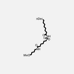 CCCCCCCCCCCCCCCCCC(=O)NS(=O)(=O)CCCCCC(=O)NCCCCOC